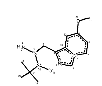 BN(Cc1ncn2ccc(OC)cc12)[S+]([O-])C(C)(C)C